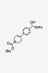 CNC(O)c1ccc(C2=CCN(C(=O)OC(C)(C)C)CC2)cc1